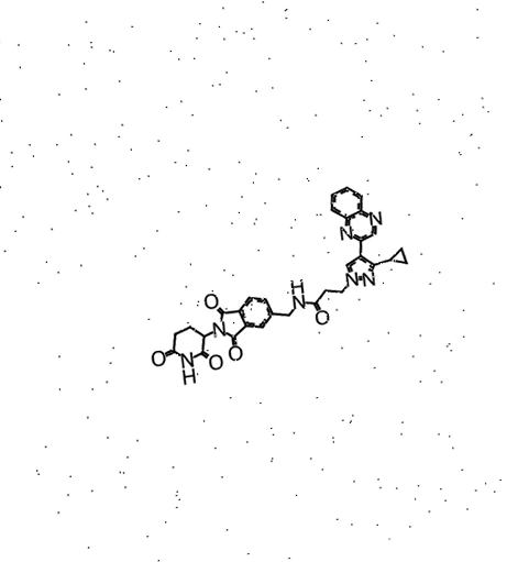 O=C(CCn1cc(-c2cnc3ccccc3n2)c(C2CC2)n1)NCc1ccc2c(c1)C(=O)N(C1CCC(=O)NC1=O)C2=O